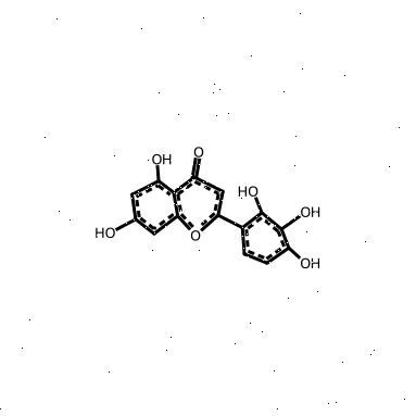 O=c1cc(-c2ccc(O)c(O)c2O)oc2cc(O)cc(O)c12